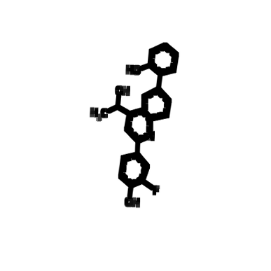 CC(O)c1cc(-c2ccc(O)c(F)c2)nc2ccc(-c3ccccc3O)cc12